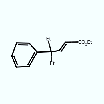 CCOC(=O)C=CC(CC)(CC)c1ccccc1